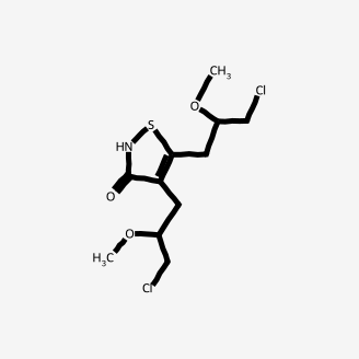 COC(CCl)Cc1s[nH]c(=O)c1CC(CCl)OC